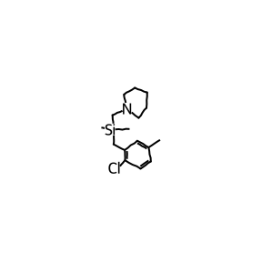 Cc1ccc(Cl)c(C[Si](C)(C)CN2CCCCC2)c1